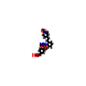 O=S(=O)(Nc1ccccc1/C=C/c1cc[n+]([O-])cc1)c1ccc(CO)cc1